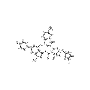 CC(=O)c1nn(CC(=O)N2[C@H](C(=O)Nc3nc(C(F)(F)F)ccc3C)C[C@@]3(Cc4nnc(C)o4)C[C@@H]23)c2c(C)cc(-c3cnc(C)nc3)cc12